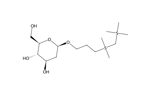 CS(C)(C)CS(C)(C)CCCO[C@H]1C[C@@H](O)[C@H](O)[C@@H](CO)O1